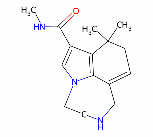 CNC(=O)c1cn2c3c1C(C)(C)CC=C3CNCC2